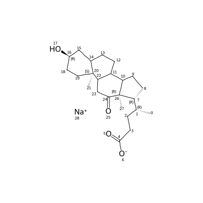 C[C@H](CCC(=O)[O-])[C@H]1CCC2C3CCC4C[C@H](O)CC[C@]4(C)C3CC(=O)[C@@]21C.[Na+]